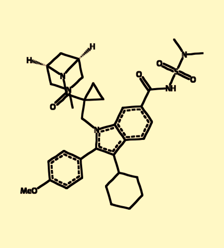 COc1ccc(-c2c(C3CCCCC3)c3ccc(C(=O)NS(=O)(=O)N(C)C)cc3n2CC2(C(=O)N3[C@@H]4C[C@H]3CN(C)C4)CC2)cc1